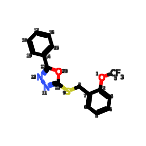 FC(F)(F)Oc1ccccc1CSc1nnc(-c2ccccc2)o1